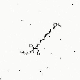 CCCCCCCCCC(CBr)C(=O)OC